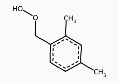 Cc1ccc(COO)c(C)c1